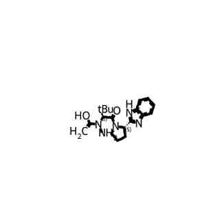 C=C(O)N(N)[C@H](C(=O)N1CCC[C@H]1c1nc2ccccc2[nH]1)C(C)(C)C